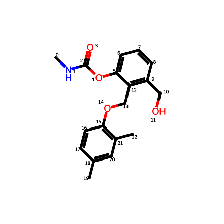 CNC(=O)Oc1cccc(CO)c1COc1ccc(C)cc1C